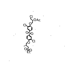 CCS(=O)(=O)C[C@@H](C)COc1ccc(S(=O)(=O)c2ccc(OC[C@H](CCl)OC(C)=O)c(Cl)c2)cc1Cl